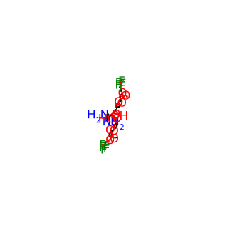 COc1cc(C(=O)Oc2ccc(/C=C/C(=O)CC(c3cc(N)cc(N)c3)C(O)(O)C(=O)/C=C/c3ccc(OC(=O)c4ccc(OCCCC(F)(F)C(F)(F)F)c(OC)c4)cc3)cc2)ccc1OCCCC(F)(F)C(F)(F)F